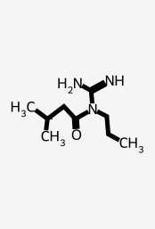 CCCN(C(=N)N)C(=O)C[C](C)C